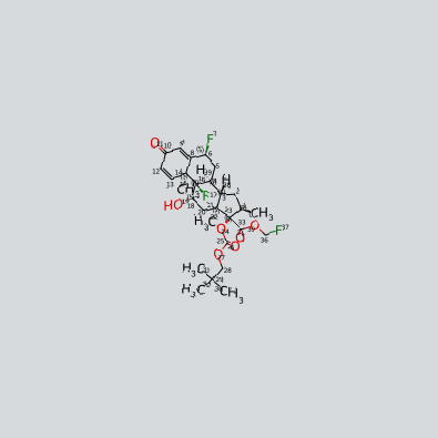 C[C@@H]1C[C@H]2[C@@H]3C[C@H](F)C4=CC(=O)C=C[C@]4(C)[C@@]3(F)[C@@H](O)C[C@]2(C)[C@@]1(OC(=O)OCC(C)(C)C)C(=O)OCF